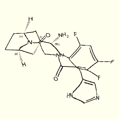 N[C@H](Cc1cc(F)c(F)cc1F)[C@@H]1C[C@H]2CC[C@@H](C1)N2C(=O)CNC(=O)Cc1cnc[nH]1